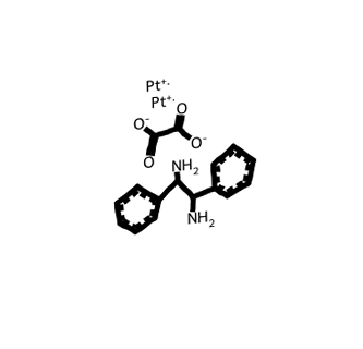 NC(c1ccccc1)C(N)c1ccccc1.O=C([O-])C(=O)[O-].[Pt+].[Pt+]